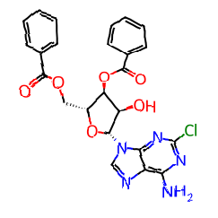 Nc1nc(Cl)nc2c1ncn2[C@@H]1O[C@H](COC(=O)c2ccccc2)[C@@H](OC(=O)c2ccccc2)[C@H]1O